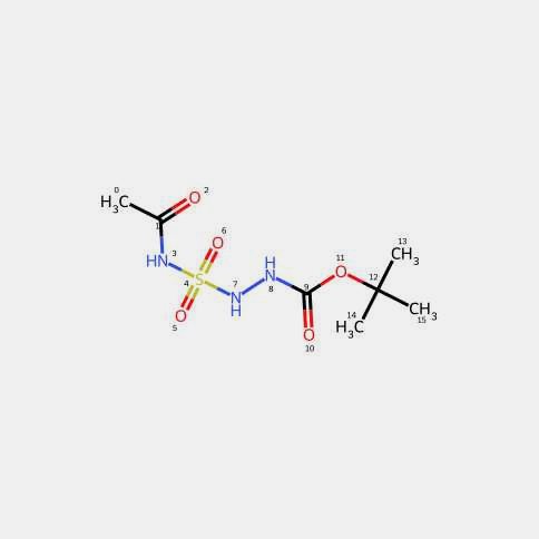 CC(=O)NS(=O)(=O)NNC(=O)OC(C)(C)C